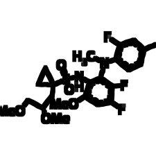 COC[C@@H](CC1(S(=O)(=O)Nc2c(OC)cc(F)c(F)c2N(C)c2ccc(I)cc2F)CC1)OC